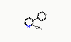 Cc1ncccc1-c1ccccc1